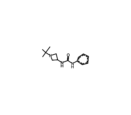 CC(C)(C)N1CC(NC(=O)Nc2ccccc2)C1